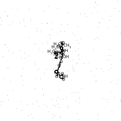 CCn1nc(C2CC2)cc1Nc1nc(C(O)NCCOCCOCCCc2cccc3c2CN(C2CCC(=O)NC2=O)C3=O)nc2[nH]c3cc(-c4c(C)noc4C)c(OC)cc3c12